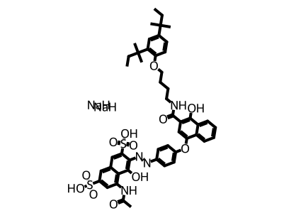 CCC(C)(C)c1ccc(OCCCCNC(=O)c2cc(Oc3ccc(N=Nc4c(S(=O)(=O)O)cc5cc(S(=O)(=O)O)cc(NC(C)=O)c5c4O)cc3)c3ccccc3c2O)c(C(C)(C)CC)c1.[NaH].[NaH]